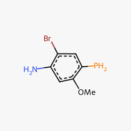 COc1cc(N)c(Br)cc1P